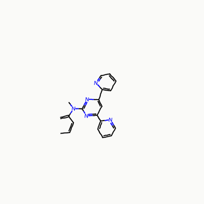 C=C(/C=C\C)N(C)c1nc(-c2ccccn2)cc(-c2ccccn2)n1